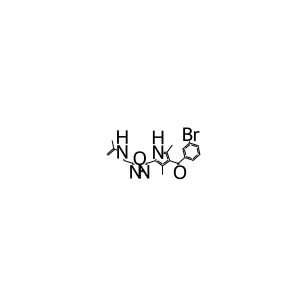 C=C(C)NCc1nnc(-c2[nH]c(C)c(C(=O)c3cccc(Br)c3)c2C)o1